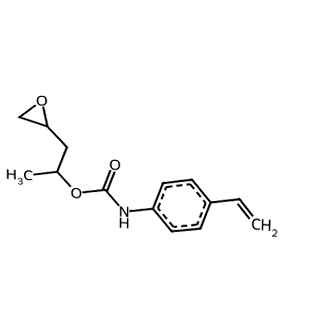 C=Cc1ccc(NC(=O)OC(C)CC2CO2)cc1